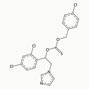 S=C(OCc1ccc(Cl)cc1)OC(Cn1ccnc1)c1ccc(Cl)cc1Cl